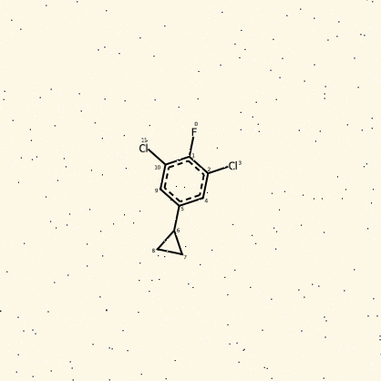 Fc1c(Cl)cc(C2CC2)cc1Cl